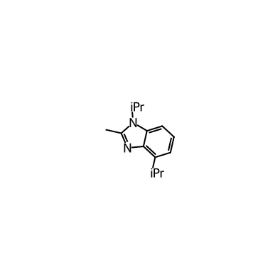 Cc1nc2c(C(C)C)cccc2n1C(C)C